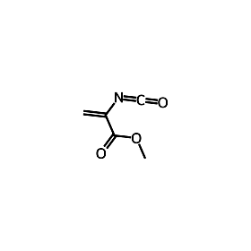 C=C(N=C=O)C(=O)OC